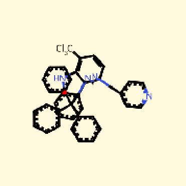 ClC(Cl)(Cl)C1=C2Nc3ccccc3C23C(C=C1)N(c1ccncc1)CN3C(c1ccccc1)(c1ccccc1)c1ccccc1